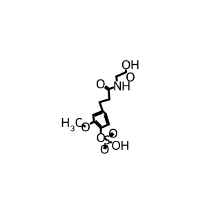 COc1cc(CCC(=O)NCC(=O)O)ccc1OS(=O)(=O)O